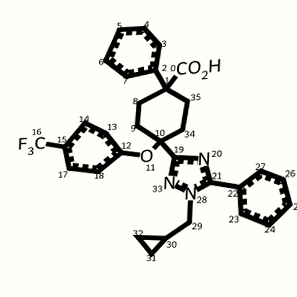 O=C(O)C1(c2ccccc2)CCC(Oc2ccc(C(F)(F)F)cc2)(c2nc(-c3ccccc3)n(CC3CC3)n2)CC1